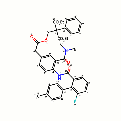 CCOC(=O)C(COC(=O)Cc1ccc(NC(=O)c2cccc(F)c2-c2ccc(C(F)(F)F)cc2)c(C(=O)N(C)C)c1)(C(=O)OCC)c1ccccc1